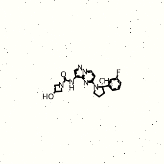 C[C@]1(c2cccc(F)c2)CCCN1c1ccn2ncc(NC(=O)N3CC(O)C3)c2n1